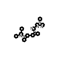 c1ccc(-c2cc(-c3ccccc3)nc(-n3c4ccccc4c4cc(-c5ccc6c7ccccc7n(-c7cncc(-c8ccc9c(n8)c8ncccc8n9-c8ccccc8)c7)c6c5)ccc43)c2)cc1